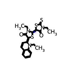 CCN1C(=O)/C(=c2\sc(=C3C=Cc4ccccc4N3CC)c(=O)n2CC)SC1=S